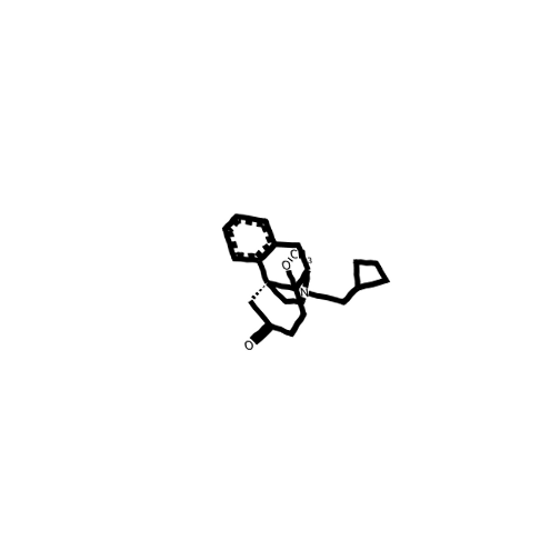 COC12CCC(=O)C[C@@]13CCN(CC1CCC1)C2Cc1ccccc13